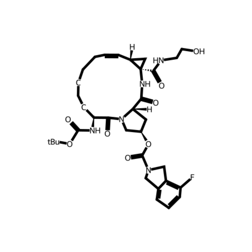 CC(C)(C)OC(=O)N[C@H]1CCCCC/C=C\[C@@H]2C[C@@]2(C(=O)NCCO)NC(=O)[C@@H]2C[C@@H](OC(=O)N3Cc4cccc(F)c4C3)CN2C1=O